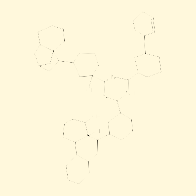 CC1CCCC2C3CCCCC3CC(C3CCCC(C4NC(C5CCCC(C6C=CCCC6)C5)NC(C5(C)CCCC(C6CC7CC8CCCCC86C7)C5)N4)C3)C12C